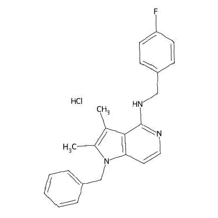 Cc1c(C)n(Cc2ccccc2)c2ccnc(NCc3ccc(F)cc3)c12.Cl